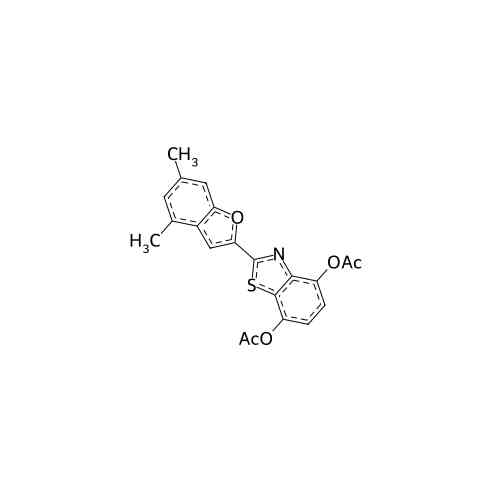 CC(=O)Oc1ccc(OC(C)=O)c2sc(-c3cc4c(C)cc(C)cc4o3)nc12